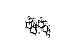 CS(=O)(=O)N1CCc2cccc(Nc3nc(Cl)ncc3C(F)(F)F)c21